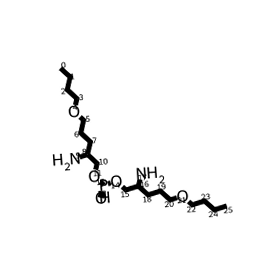 CCCCOCCCC(N)CO[PH](=O)OCC(N)CCCOCCCC